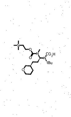 CN(C(=O)OCC[Si](C)(C)C)[C@H](CC[C@H]1CCCOC1)N(C(=O)O)C(C)(C)C